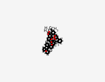 CC(C)(C)c1ccc2c(c1)C1(c3cc(C(C)(C)C)ccc3O2)c2ccccc2-c2ccc(N(c3cccc(-n4c5ccccc5c5ccccc54)c3)c3ccc4c(c3)C3(c5ccccc5Oc5ccccc53)c3ccccc3-4)cc21